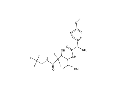 COc1ccc(C(N)C(=O)NC(C(C)C)C(O)C(F)(F)C(=O)NCC(F)(F)F)cc1.Cl